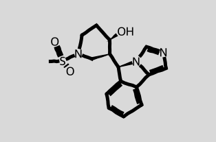 CS(=O)(=O)N1CC[C@@H](O)[C@@H]([C@@H]2c3ccccc3-c3cncn32)C1